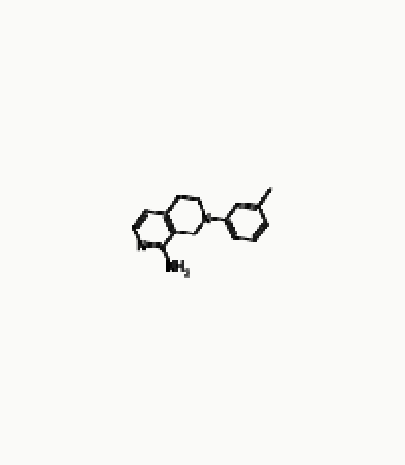 Cc1cccc(N2CCc3ccnc(N)c3C2)c1